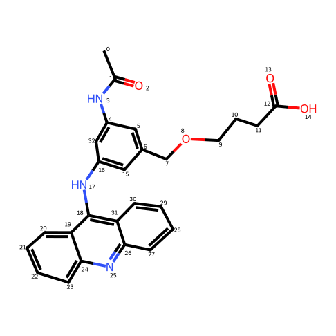 CC(=O)Nc1cc(COCCCC(=O)O)cc(Nc2c3ccccc3nc3ccccc23)c1